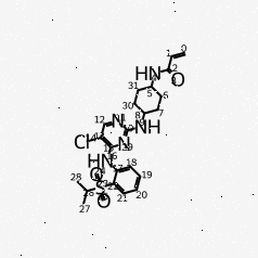 C=CC(=O)NC1CCC(Nc2ncc(Cl)c(Nc3ccccc3S(=O)(=O)C(C)C)n2)CC1